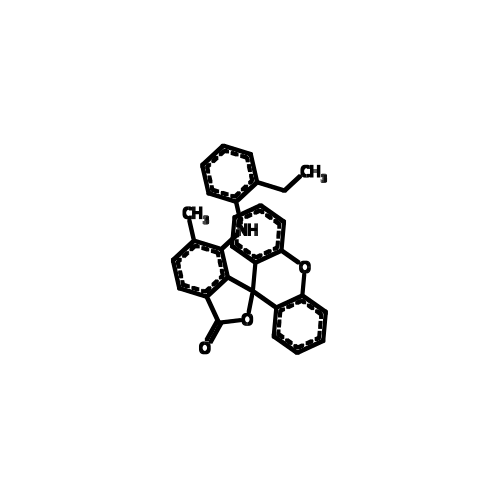 CCc1ccccc1Nc1c(C)ccc2c1C1(OC2=O)c2ccccc2Oc2ccccc21